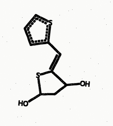 OC1CC(O)C(=Cc2cccs2)S1